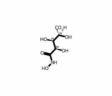 O=C(O)[C@H](O)[C@H](O)[C@@H](O)C(=O)NO